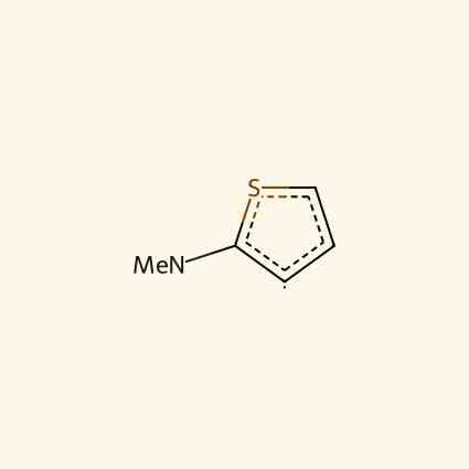 CNc1[c]ccs1